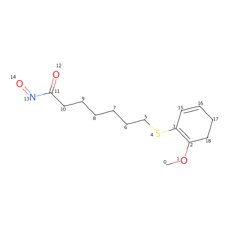 COC1=C(SCCCCCCC(=O)N=O)C=CCC1